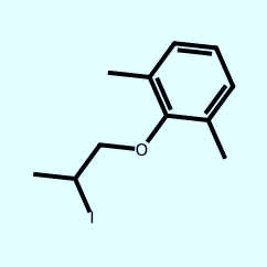 Cc1cccc(C)c1OCC(C)I